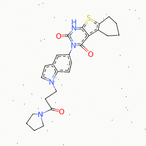 O=C(CCn1ccc2cc(-n3c(=O)[nH]c4sc5c(c4c3=O)CCCC5)ccc21)N1CCCC1